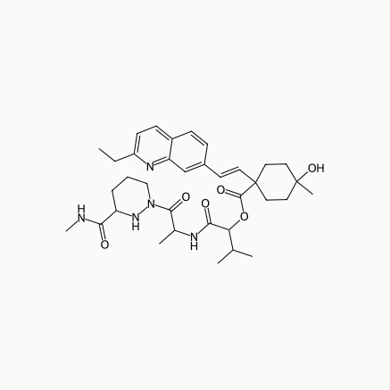 CCc1ccc2ccc(/C=C/C3(C(=O)OC(C(=O)NC(C)C(=O)N4CCCC(C(=O)NC)N4)C(C)C)CCC(C)(O)CC3)cc2n1